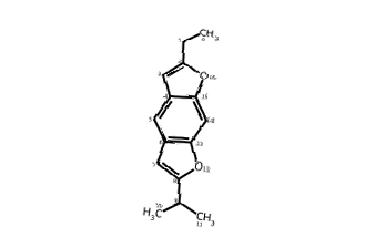 CCc1cc2cc3cc(C(C)C)oc3cc2o1